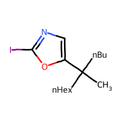 CCCCCCC(C)(CCCC)c1cnc(I)o1